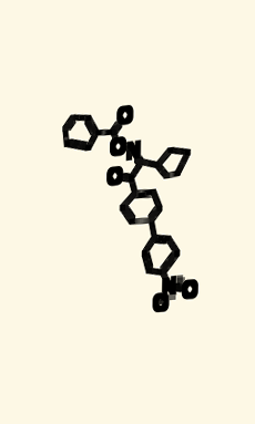 O=C(O/N=C(\C(=O)c1ccc(-c2ccc([N+](=O)[O-])cc2)cc1)C1CCCC1)c1ccccc1